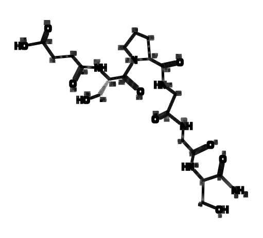 NC(=O)C(CO)NC(=O)CNC(=O)CNC(=O)C1CCCN1C(=O)[C@H](CO)NC(=O)CCC(=O)O